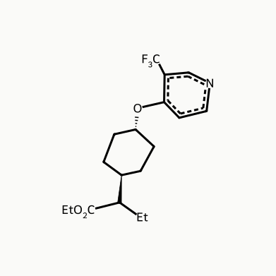 CCOC(=O)C(CC)[C@H]1CC[C@H](Oc2ccncc2C(F)(F)F)CC1